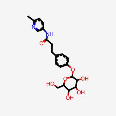 Cc1ccc(NC(=O)CCc2ccc(OC3OC(CO)C(O)C(O)C3O)cc2)cn1